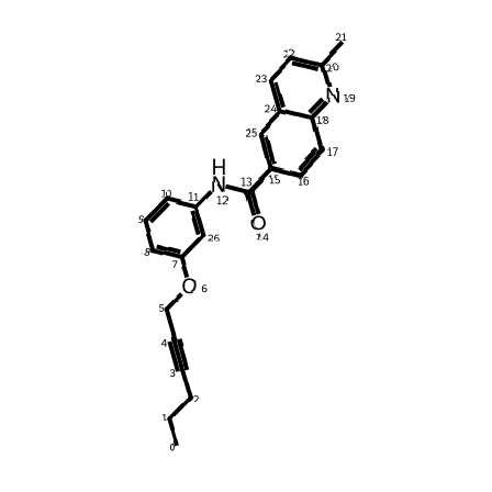 CCCC#CCOc1cccc(NC(=O)c2ccc3nc(C)ccc3c2)c1